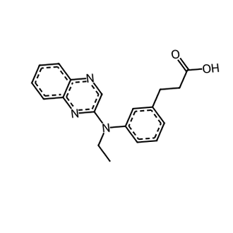 CCN(c1cccc(CCC(=O)O)c1)c1cnc2ccccc2n1